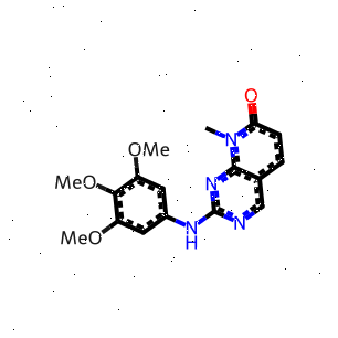 COc1cc(Nc2ncc3ccc(=O)n(C)c3n2)cc(OC)c1OC